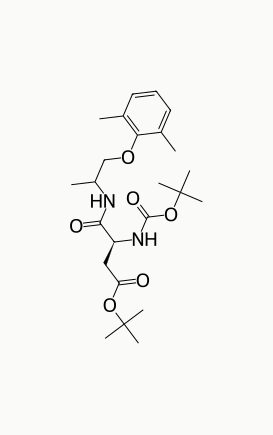 Cc1cccc(C)c1OCC(C)NC(=O)[C@H](CC(=O)OC(C)(C)C)NC(=O)OC(C)(C)C